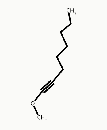 CCCCCCC#COC